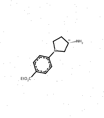 CCOC(=O)c1ccc(N2CC[C@H](N)C2)cc1